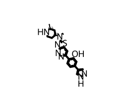 C[C@H]1C[C@@H](N(C)c2nc3nnc(-c4ccc(-c5cn[nH]c5)cc4O)cc3s2)CCN1